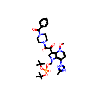 CON1C=CC(n2cnc(C)n2)=C2C1=C(C(=O)C(=O)N1CCN(C(=O)c3ccccc3)CC1)CN2COP(=O)(OC(C)(C)C)OC(C)(C)C